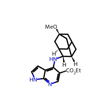 CCOC(=O)c1cnc2[nH]ccc2c1N[C@@H]1[C@@H]2CC3C[C@H]1C[C@@](OC)(C3)C2